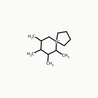 CC1C[N+]2(CCCC2)C(C)C(C)C1C